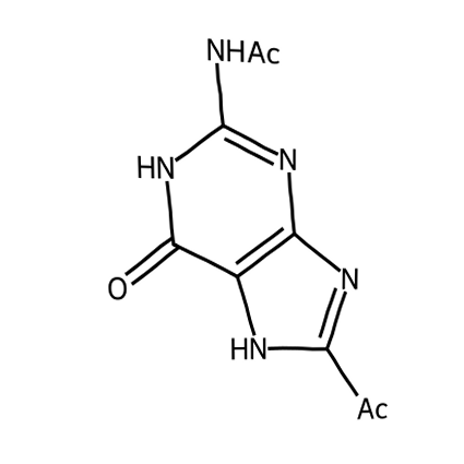 CC(=O)Nc1nc2nc(C(C)=O)[nH]c2c(=O)[nH]1